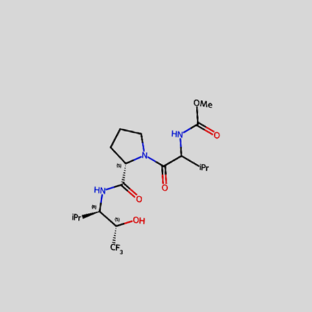 COC(=O)NC(C(=O)N1CCC[C@H]1C(=O)N[C@H](C(C)C)[C@H](O)C(F)(F)F)C(C)C